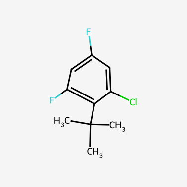 CC(C)(C)c1c(F)cc(F)cc1Cl